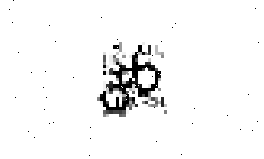 CCC1(CC)CCCC(C)(C)N1C1(CO)CCCC[N]1